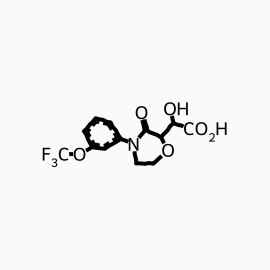 O=C(O)C(O)C1OCCN(c2cccc(OC(F)(F)F)c2)C1=O